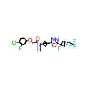 O=C(COc1ccc(Cl)c(F)c1)NC12CC(c3nnc(C4(F)CN(CC(F)(F)F)C4)o3)(C1)C2